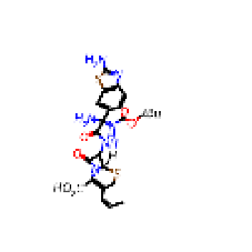 C/C=C\C1=C(C(=O)O)N2C(=O)C(NC(=O)C(N)(NC(=O)OC(C)(C)C)c3ccc4nc(N)sc4c3)[C@@H]2SC1